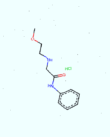 COCCNCC(=O)Nc1ccccc1.Cl